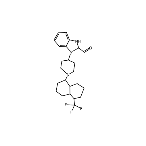 O=CC1Nc2ccccc2N1C1CCN(C2CCCC3C2CCCC3C(F)(F)F)CC1